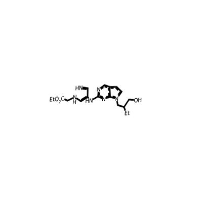 CCOC(=O)CN/C=C(\C=N)Nc1ncc2ccn(CC(CC)CO)c2n1